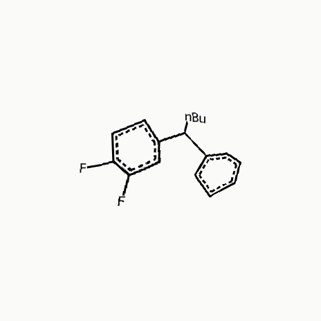 CCCCC(c1ccccc1)c1ccc(F)c(F)c1